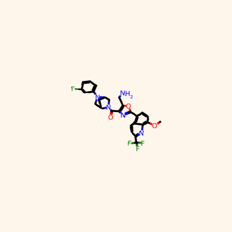 COc1ccc(-c2nc(C(=O)N3CC4CC3CN4c3cccc(F)c3)c(CN)o2)c2ccc(C(F)(F)F)nc12